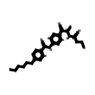 CCCCCCc1ccc(C(=O)Oc2ccc(C(=O)C(C)OC(=O)CCC)cc2)cc1